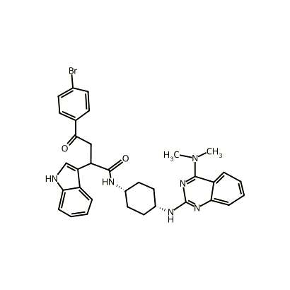 CN(C)c1nc(N[C@H]2CC[C@@H](NC(=O)C(CC(=O)c3ccc(Br)cc3)c3c[nH]c4ccccc34)CC2)nc2ccccc12